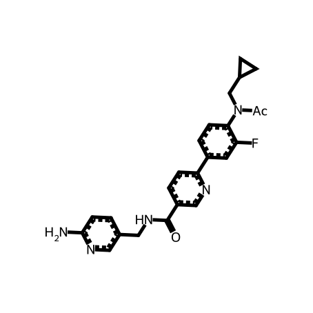 CC(=O)N(CC1CC1)c1ccc(-c2ccc(C(=O)NCc3ccc(N)nc3)cn2)cc1F